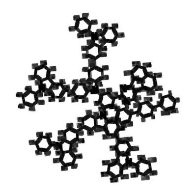 c1ccc(-c2ccc(-c3ccccc3)c(-c3nc(-c4cc(-n5c6ccc(-c7ccc8c(c7)c7ccccc7n8-c7ccccc7)cc6c6cc(-c7ccc8c(c7)c7ccccc7n8-c7ccccc7)ccc65)cc(-n5c6ccc(-c7ccc8c(c7)c7ccccc7n8-c7ccccc7)cc6c6cc(-c7ccc8c(c7)c7ccccc7n8-c7ccccc7)ccc65)c4)nc4c3-c3cccc5cccc-4c35)c2)cc1